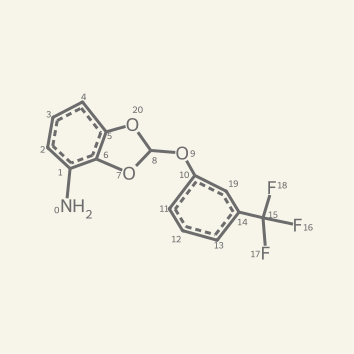 Nc1cccc2c1OC(Oc1cccc(C(F)(F)F)c1)O2